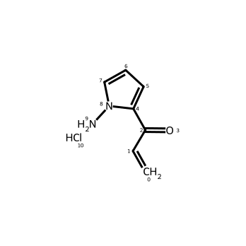 C=CC(=O)c1cccn1N.Cl